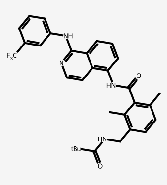 Cc1ccc(CNC(=O)C(C)(C)C)c(C)c1C(=O)Nc1cccc2c(Nc3cccc(C(F)(F)F)c3)nccc12